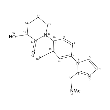 CNCc1nccn1-c1ccc(N2CCCC(O)C2=O)c(F)c1